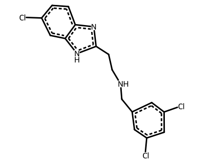 Clc1cc(Cl)cc(CNCCc2nc3ccc(Cl)cc3[nH]2)c1